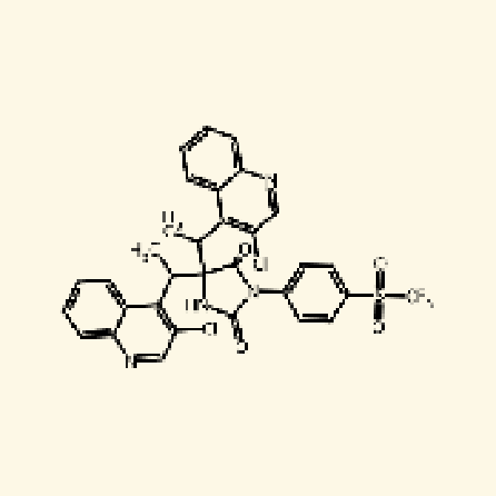 CC(c1c(Cl)cnc2ccccc12)C1(C(C)c2c(Cl)cnc3ccccc23)NC(=O)N(c2ccc(S(=O)(=O)C(F)(F)F)cc2)C1=O